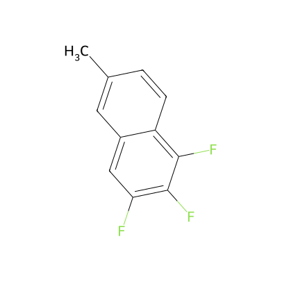 Cc1ccc2c(F)c(F)c(F)cc2c1